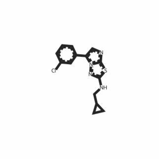 Clc1cccc(-c2cnc3sc(NCC4CC4)nn23)c1